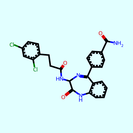 NC(=O)c1ccc(C2=NC(NC(=O)CCc3ccc(Cl)cc3Cl)C(=O)Nc3ccccc32)cc1